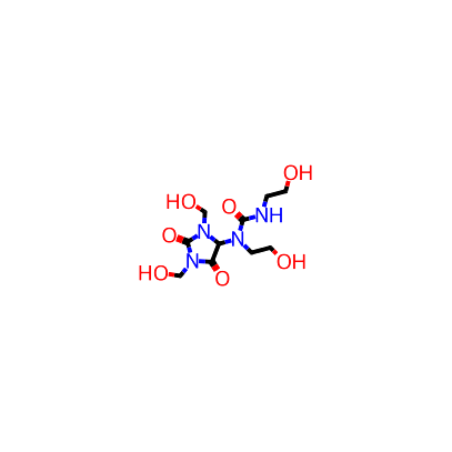 O=C1C(N(CCO)C(=O)NCCO)N(CO)C(=O)N1CO